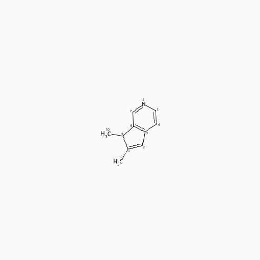 CC1=Cc2ccncc2C1C